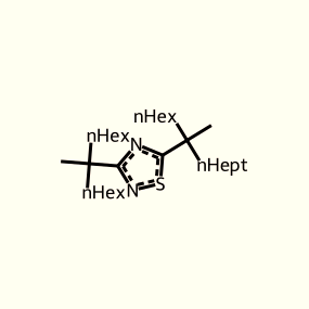 CCCCCCCC(C)(CCCCCC)c1nc(C(C)(CCCCCC)CCCCCC)ns1